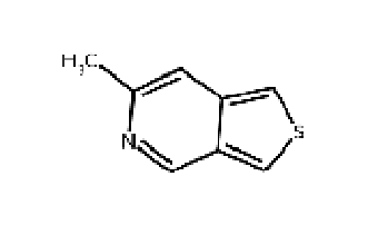 Cc1cc2cscc2cn1